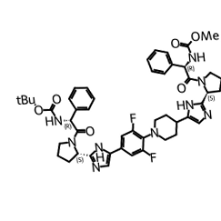 COC(=O)N[C@@H](C(=O)N1CCC[C@H]1c1ncc(C2CCN(c3c(F)cc(-c4cnc([C@@H]5CCCN5C(=O)[C@H](NC(=O)OC(C)(C)C)c5ccccc5)[nH]4)cc3F)CC2)[nH]1)c1ccccc1